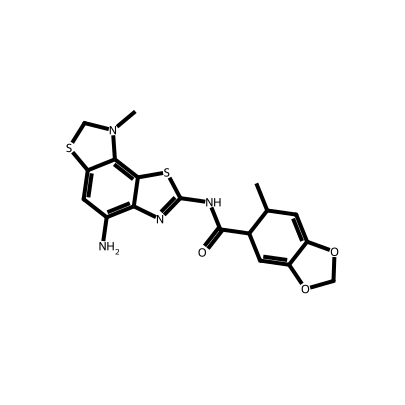 CC1C=C2OCOC2=CC1C(=O)Nc1nc2c(N)cc3c(c2s1)N(C)CS3